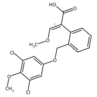 CO/C=C(/C(=O)O)c1ccccc1COc1cc(Cl)c(OC)c(Cl)c1